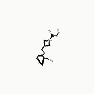 CC(C)(C)c1ccccc1OCC1CN(C(=O)CO)C1